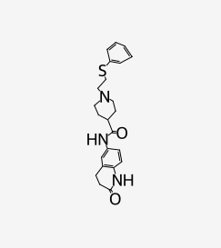 O=C1CCc2cc(NC(=O)C3CCN(CCSc4ccccc4)CC3)ccc2N1